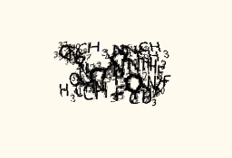 Cc1c(C(=O)NC2(C(F)F)CC2)cc(Nc2nc(-c3cnc4c(c3)N(C3CC(C)(N5CC6CCC(C6)C5)C3)C(=O)C4(C)C)cc3ncn(C(C)C)c23)c(F)c1F